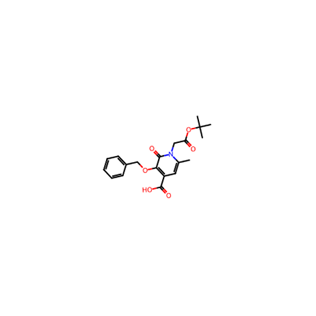 Cc1cc(C(=O)O)c(OCc2ccccc2)c(=O)n1CC(=O)OC(C)(C)C